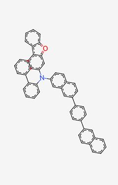 c1ccc(-c2ccccc2N(c2ccc3ccc(-c4ccc(-c5ccc6ccccc6c5)cc4)cc3c2)c2ccc3c(c2)oc2ccccc23)cc1